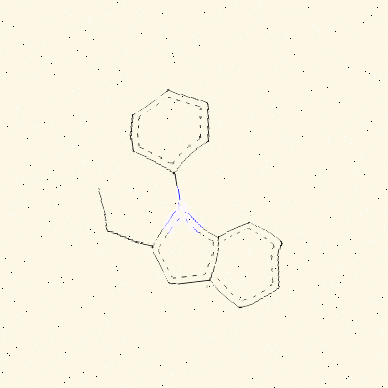 CCc1cc2ccccc2n1-c1ccccc1